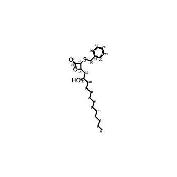 CCCCCCCCCCCC(O)CC1OC(=O)C1SCc1ccccc1